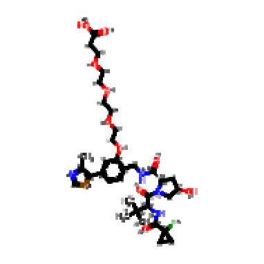 Cc1ncsc1-c1ccc(CNC(=O)[C@@H]2C[C@@H](O)CN2C(=O)[C@@H](NC(=O)C2(F)CC2)C(C)(C)C)c(OCCOCCOCCOCCC(=O)O)c1